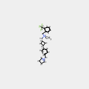 CN(Cc1ccccc1C(F)(F)F)C[C@H]1C[C@H](c2ccc(CN3CCCC3)cc2)C1